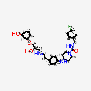 O=C(NCc1ccc(F)cc1)N1CCC(Nc2ccc(CCNC[C@H](O)COc3cccc(O)c3)cc2)CC1